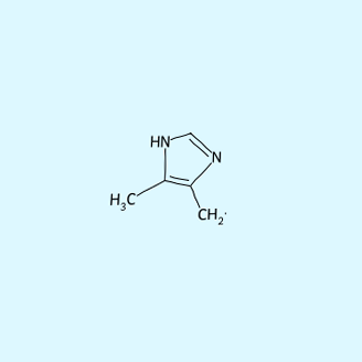 [CH2]c1nc[nH]c1C